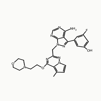 Cc1ccn2nc(Cn3nc(-c4cc(O)cc(F)c4)c4c(N)ncnc43)nc(OCCN3CCOCC3)c12